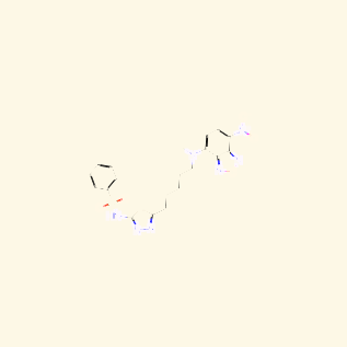 CN(CCCCCc1nnc(NS(=O)(=O)c2ccccc2)s1)c1ccc([N+](=O)[O-])c2nonc12